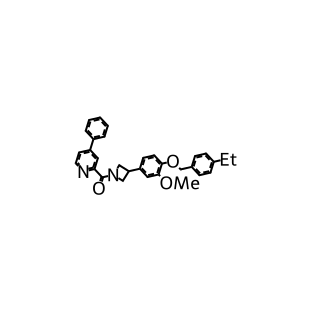 CCc1ccc(COc2ccc(C3CN(C(=O)c4cc(-c5ccccc5)ccn4)C3)cc2OC)cc1